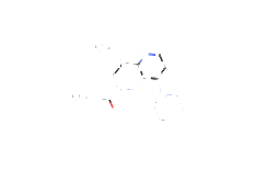 COC(=O)N1C=C(SC)c2nc(C)cc(N3CCOCC3)c2C1